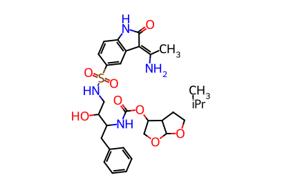 CC(C)C.CC(N)=C1C(=O)Nc2ccc(S(=O)(=O)NCC(O)C(Cc3ccccc3)NC(=O)OC3COC4OCCC34)cc21